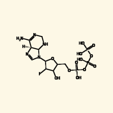 NC1=NCNC2[C@H]1N=CN2C1OC(COP(=O)(O)OP(=O)(O)OP(=O)(O)O)C(O)C1F